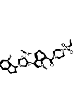 CCS(=O)(=O)N1CCN(C(=O)c2cccc3c([C@H]4CN(C5CCc6cccc(F)c65)C[C@@H]4N(C)C)cn(C)c23)CC1